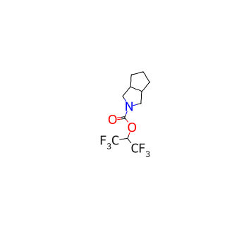 O=C(OC(C(F)(F)F)C(F)(F)F)N1CC2CCCC2C1